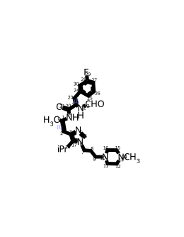 C/C(=C/c1ncn(CCCN2CCN(C)CC2)c1C(C)C)NC(=O)/C(=C/c1cccc(F)c1)NC=O